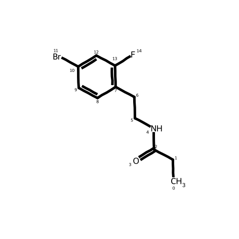 CCC(=O)NCCc1ccc(Br)cc1F